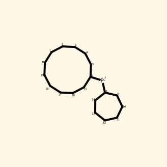 C1CCCCCC([P]C2CCCCCC2)CCCCC1